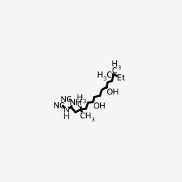 CCC(C)(C)CCC(O)CCCC(O)CCC(C)(C)CC(NC#N)NC#N